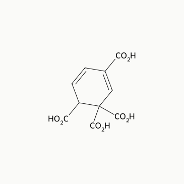 O=C(O)C1=CC(C(=O)O)(C(=O)O)C(C(=O)O)C=C1